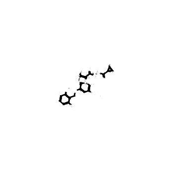 Cc1cc(OCc2c(F)cccc2F)c2nc(C)c(C(=O)NNC(=O)C3CC3)n2c1